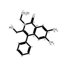 CCOC(=O)Cn1c(CO)c(-c2ccccc2)c2cc(C)c(C)cc2c1=O